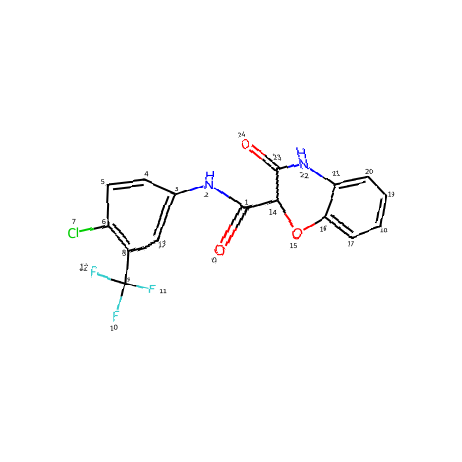 O=C(Nc1ccc(Cl)c(C(F)(F)F)c1)C1Oc2ccccc2NC1=O